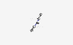 COC1=C(/C=C/c2cc(/C=C/c3ccc(OCc4ccccn4)cc3OC)n[nH]2)CC=CC(OCc2ccccn2)=C1